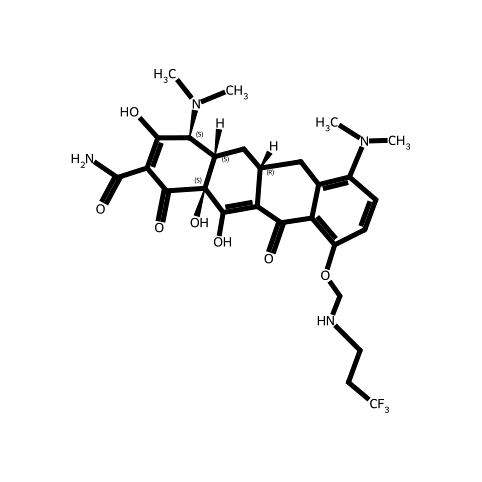 CN(C)c1ccc(OCNCCC(F)(F)F)c2c1C[C@H]1C[C@H]3[C@H](N(C)C)C(O)=C(C(N)=O)C(=O)[C@@]3(O)C(O)=C1C2=O